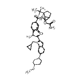 COC1CCN(c2ccc3cc(-c4oc5cc(C(=O)N6CC7CCC6(C(C)(C)C)[C@@H]7OC(N)=O)ccc5c4C)n(CC4CC4)c3c2)CC1